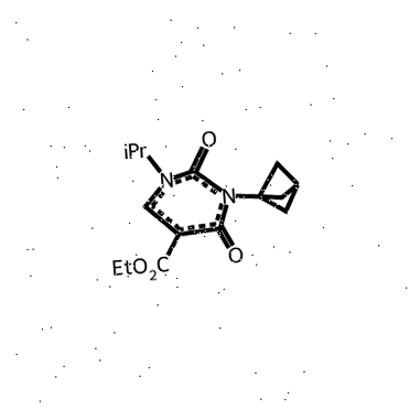 CCOC(=O)c1cn(C(C)C)c(=O)n(C23CC(C2)C3)c1=O